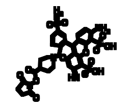 N=c1ccc2c(-c3cc(S(N)(=O)=O)ccc3C(=O)N3CCC(C(=O)ON4C(=O)CCC4=O)CC3)c3ccc(N)c(S(=O)(=O)O)c3oc-2c1S(=O)(=O)O